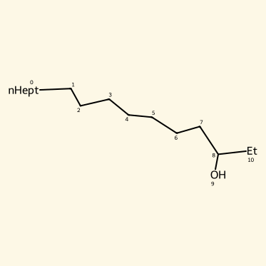 CCCCCCCCCCCCCCC(O)CC